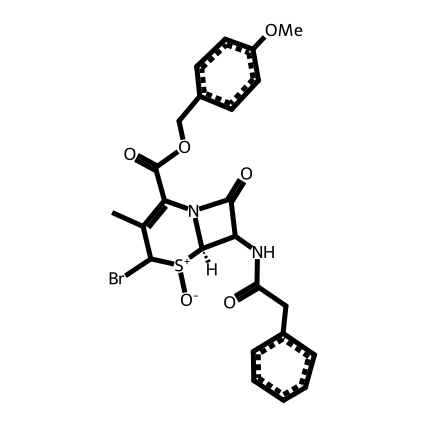 COc1ccc(COC(=O)C2=C(C)C(Br)[S+]([O-])[C@@H]3C(NC(=O)Cc4ccccc4)C(=O)N23)cc1